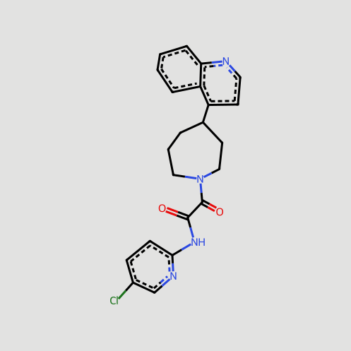 O=C(Nc1ccc(Cl)cn1)C(=O)N1CCCC(c2ccnc3ccccc23)CC1